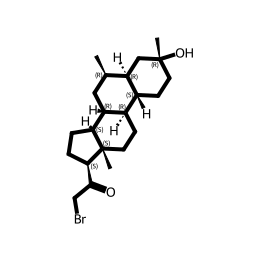 C[C@@H]1C[C@@H]2[C@H](CC[C@]3(C)[C@@H](C(=O)CBr)CC[C@@H]23)[C@H]2CC[C@@](C)(O)C[C@@H]21